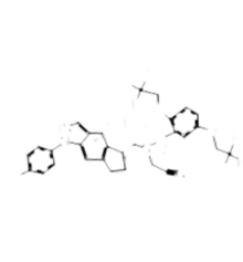 C[C@H]1C2=CNN(c3ccc(F)cc3)C2=CC2=C1[C@@H](CN(CC#N)S(=O)(=O)c1cc(OCC(F)(F)F)ccc1OCC(F)(F)F)CC2